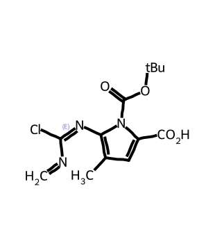 C=N/C(Cl)=N\c1c(C)cc(C(=O)O)n1C(=O)OC(C)(C)C